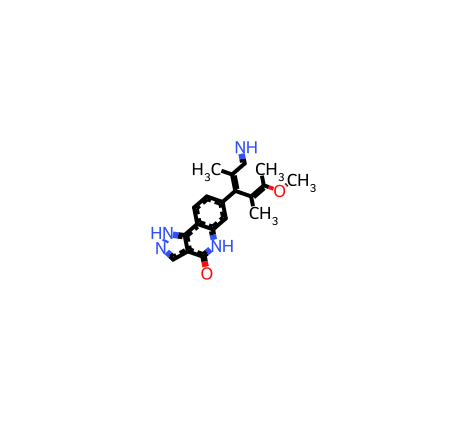 CO/C(C)=C(C)/C(=C(/C)C=N)c1ccc2c(c1)[nH]c(=O)c1cn[nH]c12